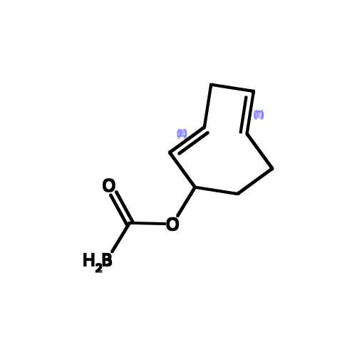 BC(=O)OC1/C=C/C/C=C/CC1